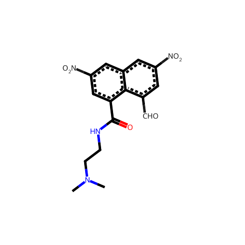 CN(C)CCNC(=O)c1cc([N+](=O)[O-])cc2cc([N+](=O)[O-])cc(C=O)c12